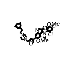 COc1cc(Nc2c(C#N)cnc3cc(-c4coc(CN5CCN(CCc6ccccc6)CC5)c4)c(OC)cc23)c(Cl)cc1Cl